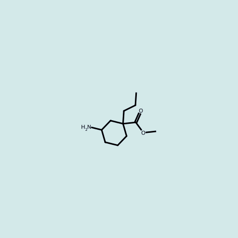 CCCC1(C(=O)OC)CCCC(N)C1